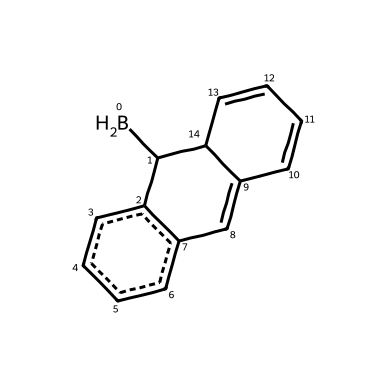 BC1c2ccccc2C=C2C=CC=CC21